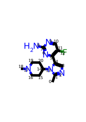 Cc1ncc(-c2nc(N)ncc2F)n1C1CCN(C)CC1